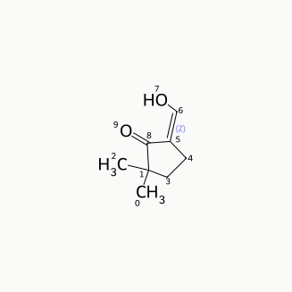 CC1(C)CC/C(=C/O)C1=O